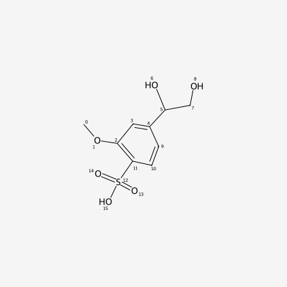 COc1cc(C(O)CO)ccc1S(=O)(=O)O